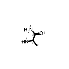 CC([NH])C(N)=O